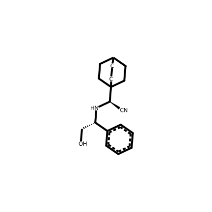 N#C[C@@H](N[C@@H](CO)c1ccccc1)C12CCC(CC1)CC2